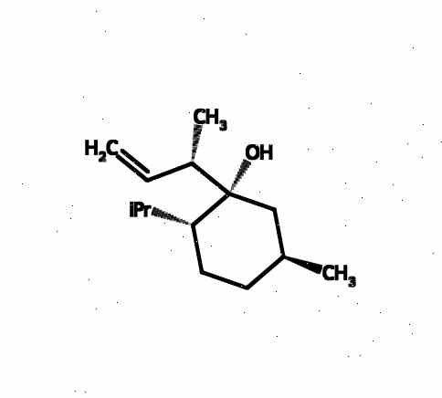 C=C[C@H](C)[C@@]1(O)C[C@@H](C)CC[C@@H]1C(C)C